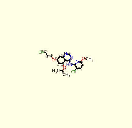 COc1ccc(Cl)c(Nc2ncnc3cc(OCCCCl)cc(OC(C)C)c23)n1